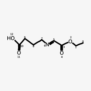 CCOC(=O)C=NCCCC(=O)O